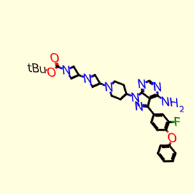 CC(C)(C)OC(=O)N1CC(N2CC(N3CCC(n4nc(-c5ccc(Oc6ccccc6)c(F)c5)c5c(N)ncnc54)CC3)C2)C1